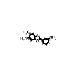 Cc1cc2nc(-c3cccc(N)c3)oc2cc1N